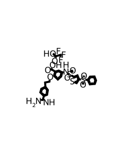 N=C(N)c1ccc(CCOc2ccc(NS(=O)(=O)c3cc(S(=O)(=O)c4ccccc4)cs3)cc2C(=O)O)cc1.O=C(O)C(F)(F)F